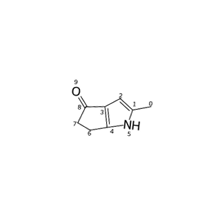 Cc1cc2c([nH]1)CCC2=O